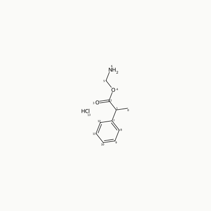 CC(C(=O)OCN)c1ccccc1.Cl